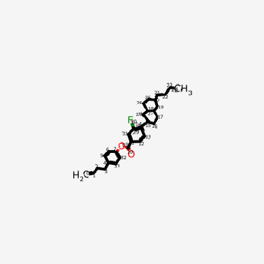 C=CCCc1ccc(OC(=O)c2ccc(C3CCC4CC(CCCC)CCC4C3)c(F)c2)cc1